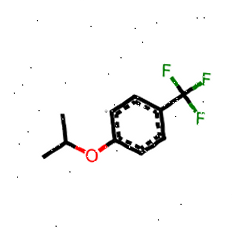 CC(C)Oc1[c]cc(C(F)(F)F)cc1